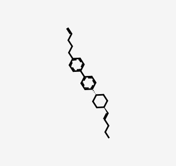 C=CCCCc1ccc(-c2ccc([C@H]3CC[C@H](C=CCCC)CC3)cc2)cc1